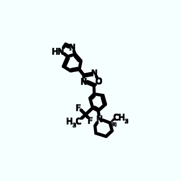 C[C@@H]1CCCCN1c1ccc(-c2nc(-c3ccc4[nH]cnc4c3)no2)cc1C(C)(F)F